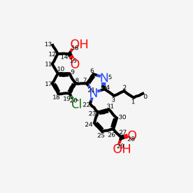 CCCCc1ncc(-c2cc(CC(C)C(=O)O)ccc2Cl)n1Cc1ccc(C(=O)O)cc1